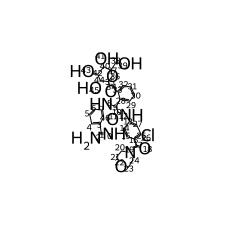 N=C(N)c1cccc(NC(C(=O)Nc2ccc(C(=O)N3CCOCC3)c(Cl)c2)c2ccccc2OC2OC(CO)C(O)C(O)C2O)c1